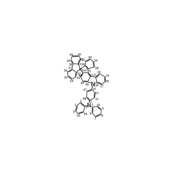 c1ccc(N(c2ccccc2)c2ccc(-n3c4ccccc4c4cc(C5(c6ccccc6)c6ccccc6-c6ccccc65)ccc43)cc2)cc1